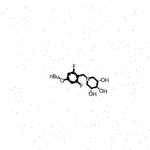 CCCCOc1cc(F)c(CN2C[C@@H](O)[C@H](O)[C@@H](O)C2)c(F)c1